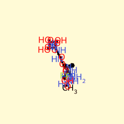 CCC(=O)NCCNC(=O)/N=C(/N)NCCC[C@@H](NC(=O)[C@H](c1ccc(OCCCNC(=O)CCCCCNC(=O)CN2CCN(CC(=O)O)CCN(CC(=O)O)CCN(CC(=O)O)CC2)cc1)N1Cc2ccccc2C1)C(=O)NCc1c(F)cc(O)cc1F